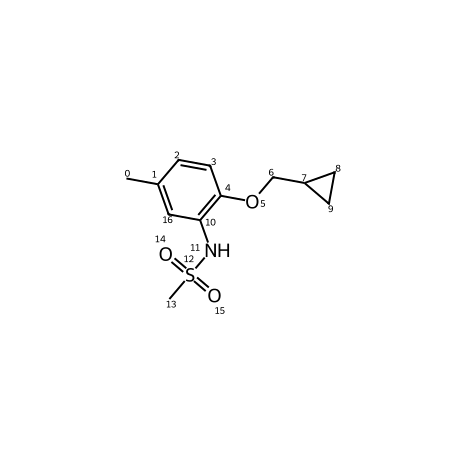 Cc1ccc(OCC2CC2)c(NS(C)(=O)=O)c1